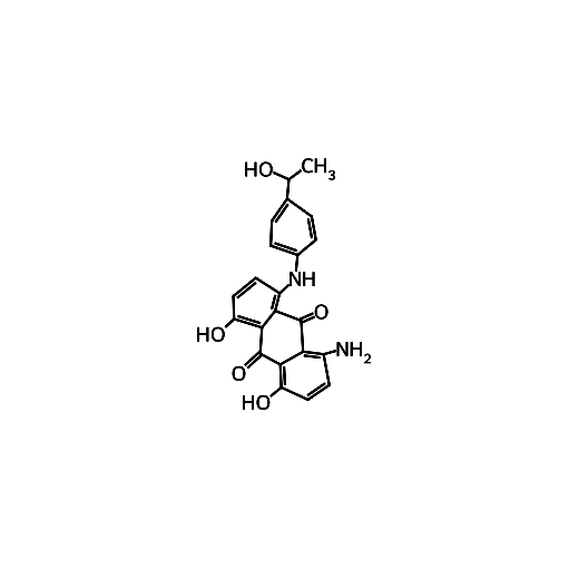 CC(O)c1ccc(Nc2ccc(O)c3c2C(=O)c2c(N)ccc(O)c2C3=O)cc1